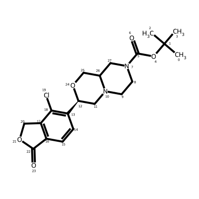 CC(C)(C)OC(=O)N1CCN2C[C@@H](c3ccc4c(c3Cl)COC4=O)OCC2C1